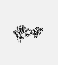 O=C1CCC(N2Cc3cc(OC[C@H]4CCCCN4Cc4ccc[nH]c4=O)ccc3C2=O)C(=O)N1